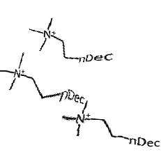 CCCCCCCCCCCC[N+](C)(C)C.CCCCCCCCCCCC[N+](C)(C)C.CCCCCCCCCCCC[N+](C)(C)C